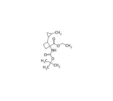 CCOC(=O)C1(NC(=O)OC(C)(C)C)CCC1C1CC1C